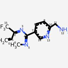 C=C/C(=N\C(=N/C)c1ccc(CN)nc1)C(F)(F)F